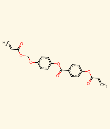 C=CC(=O)OCOc1ccc(OC(=O)c2ccc(OC(=O)C=C)cc2)cc1